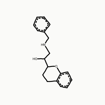 OC(CNCc1ccccc1)C1CCc2ccccc2O1